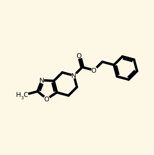 Cc1nc2c(o1)CCN(C(=O)OCc1ccccc1)C2